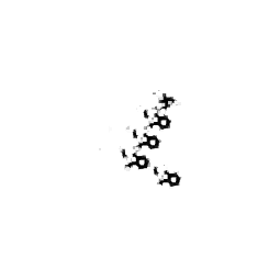 O=C(O)CCN1C(=O)c2ccccc2C1=S.O=C(O)CCN1C(=O)c2ccccc2C1=S.O=C(O)CCN1C(=O)c2ccccc2C1=S.O=C(O)CCN1C(=O)c2ccccc2C1=S.OCC(CO)(CO)CO